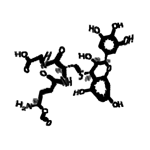 N[C@@H](CCC(=O)N[C@@H](CS[C@H]1c2c(O)cc(O)cc2O[C@H](c2cc(O)c(O)c(O)c2)[C@@H]1O)C(=O)NCC(=O)O)OC=O